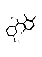 Cc1ccc(F)c(C(C(=O)O)N2CCC[C@@H](N)C2)c1F